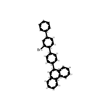 Brc1cc(-c2ccccc2)ccc1-c1ccc(-c2cc3ccccc3c3ccccc23)cc1